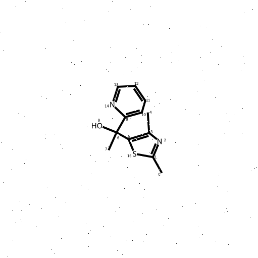 Cc1nc(C)c(C(C)(O)c2ccccn2)s1